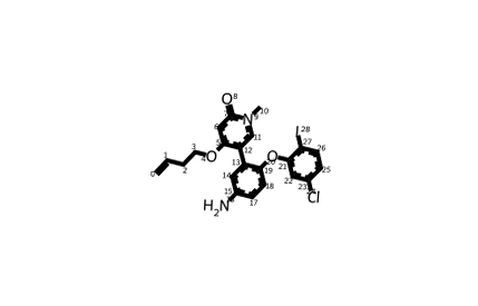 C=CCCOc1cc(=O)n(C)cc1-c1cc(N)ccc1Oc1cc(Cl)ccc1I